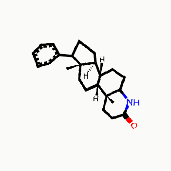 C[C@]12CCC(=O)NC1CC[C@@H]1[C@H]2CC[C@]2(C)C(c3ccccc3)CC[C@@H]12